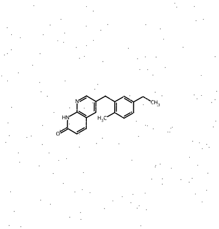 CCc1ccc(C)c(Cc2cnc3[nH]c(=O)ccc3c2)c1